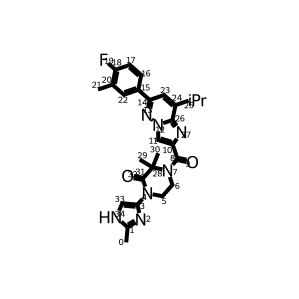 Cc1nc(N2CCN(C(=O)c3cn4nc(-c5ccc(F)c(C)c5)cc(C(C)C)c4n3)C(C)(C)C2=O)c[nH]1